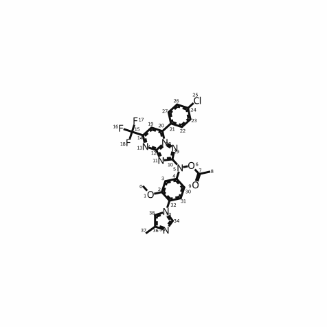 COc1cc(N(OC(C)=O)c2nc3nc(C(F)(F)F)cc(-c4ccc(Cl)cc4)n3n2)ccc1-n1cnc(C)c1